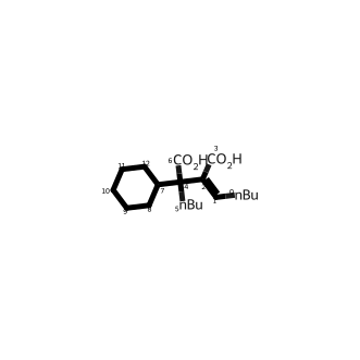 CCCCC=C(C(=O)O)C(CCCC)(C(=O)O)C1CCCCC1